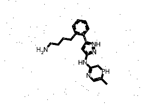 CC1=CN=C(Nc2cc(-c3ccccc3CCCCN)[nH]n2)CP1